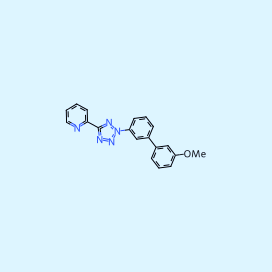 COc1cccc(-c2cccc(-n3nnc(-c4ccccn4)n3)c2)c1